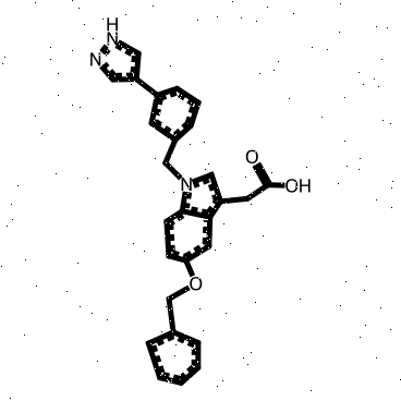 O=C(O)Cc1cn(Cc2cccc(-c3cn[nH]c3)c2)c2ccc(OCc3ccccc3)cc12